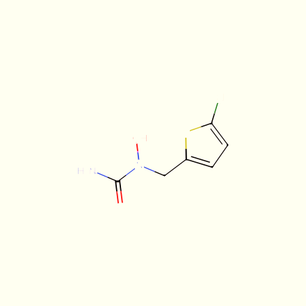 NC(=O)N(O)Cc1ccc(Cl)s1